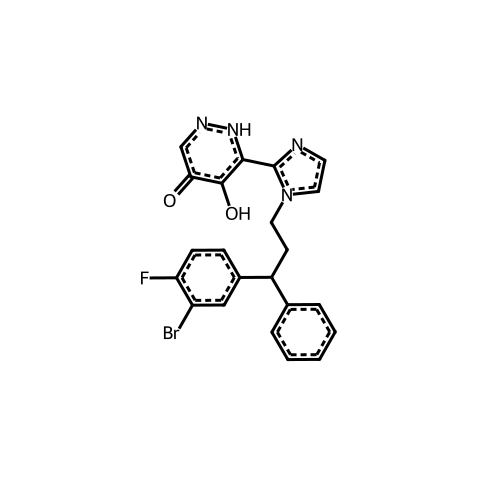 O=c1cn[nH]c(-c2nccn2CCC(c2ccccc2)c2ccc(F)c(Br)c2)c1O